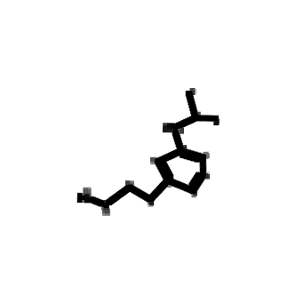 CC(C)Nc1cccc(CCSS)c1